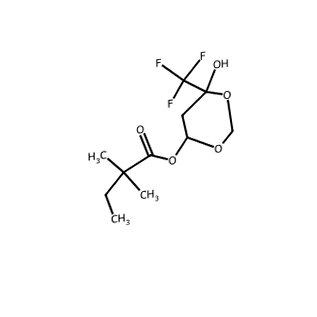 CCC(C)(C)C(=O)OC1CC(O)(C(F)(F)F)OCO1